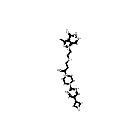 Cc1nn(CCOCCC(=O)N2CCN(c3ncc(C4COC4)cn3)CC2)c2cn[nH]c(=O)c12